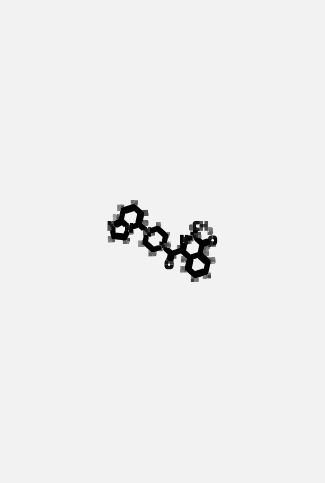 Cn1nc(C(=O)N2CCN(c3cccc4nccn34)CC2)c2ccccc2c1=O